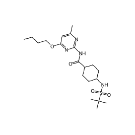 CCCCOc1cc(C)nc(NC(=O)C2CCC(NS(=O)(=O)C(C)(C)C)CC2)n1